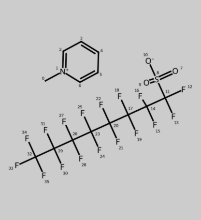 C[n+]1ccccc1.O=S(=O)([O-])C(F)(F)C(F)(F)C(F)(F)C(F)(F)C(F)(F)C(F)(F)C(F)(F)C(F)(F)F